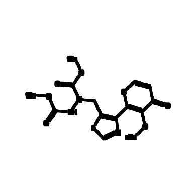 CCCCOc1c(-c2ncsc2CN(NC(=O)OC(C)(C)C)C(=O)OC(C)(C)C)occc1=O